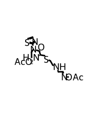 CC(=O)OCCN(C(=O)[C@@H](N)CSCCNCC=NOC(C)=O)c1nccs1